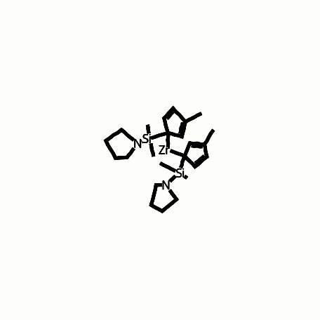 CC1=C[C]([Zr][C]2([Si](C)(C)N3CCCC3)C=CC(C)=C2)([Si](C)(C)N2CCCC2)C=C1